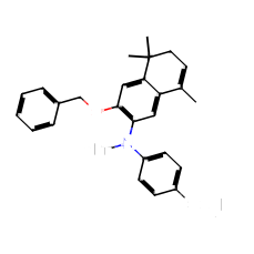 CCCN(c1ccc(C(=O)OCC)cc1)c1cc2c(cc1OCc1ccccc1)C(C)(C)CC=C2C